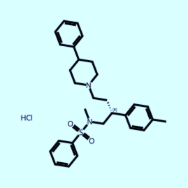 Cc1ccc([C@@H](CCN2CCC(c3ccccc3)CC2)CN(C)S(=O)(=O)c2ccccc2)cc1.Cl